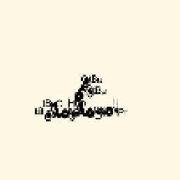 CC(C)Nc1ccc(COC(=O)Nc2ccc(C=C(COC(=O)Nc3ccc(C=C(COC(=O)C(C)(C)C)COC(=O)C(C)(C)C)cc3)COC(=O)Nc3ccc(C=C(COC(=O)C(C)(C)C)COC(=O)C(C)(C)C)cc3)cc2)cc1